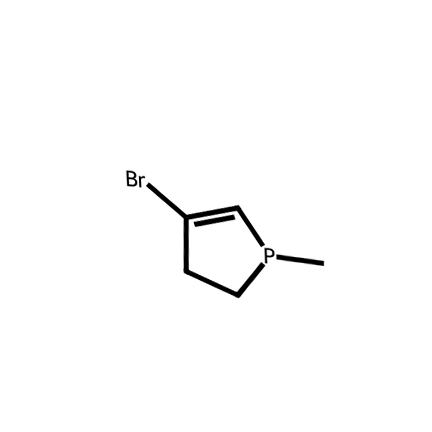 CP1C=C(Br)CC1